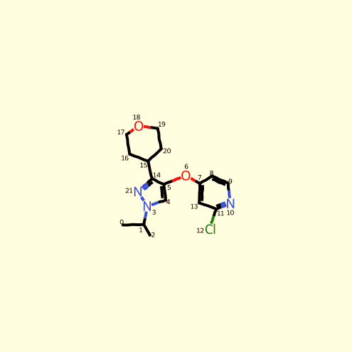 CC(C)n1cc(Oc2ccnc(Cl)c2)c(C2CCOCC2)n1